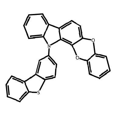 c1ccc2c(c1)Oc1ccc3c4ccccc4n(-c4ccc5sc6ccccc6c5c4)c3c1O2